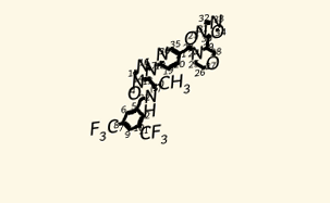 C[C@H](NC(=O)c1cc(C(F)(F)F)cc(C(F)(F)F)c1)c1ncnn1-c1ccc(C(=O)N2CCOCC2c2ncno2)cn1